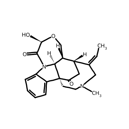 C/C=C1/CN(C)CC[C@]23C(=O)C[C@@H]1[C@H]1CO[C@H](O)C(=O)N(c4ccccc42)[C@@H]13